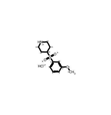 COc1cccc(S(=O)(=O)C2CCNCC2)c1.Cl